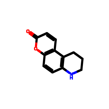 O=c1ccc2c3c(ccc2o1)NCCC3